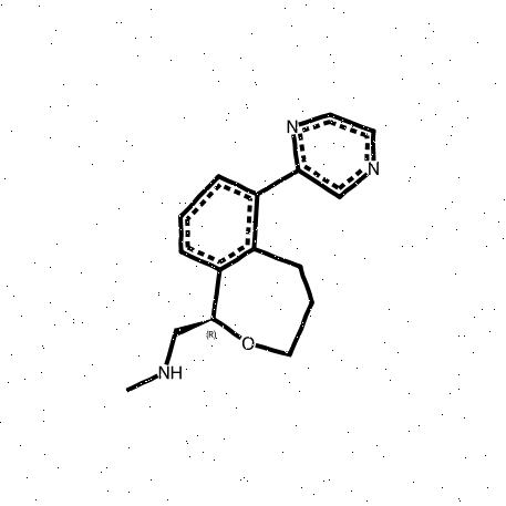 CNC[C@@H]1OCCCc2c(-c3cnccn3)cccc21